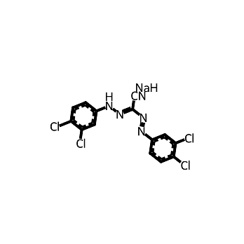 N#CC(N=Nc1ccc(Cl)c(Cl)c1)=NNc1ccc(Cl)c(Cl)c1.[NaH]